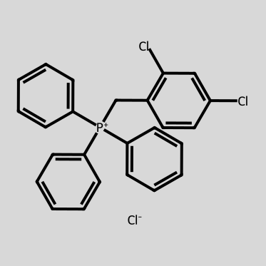 Clc1ccc(C[P+](c2ccccc2)(c2ccccc2)c2ccccc2)c(Cl)c1.[Cl-]